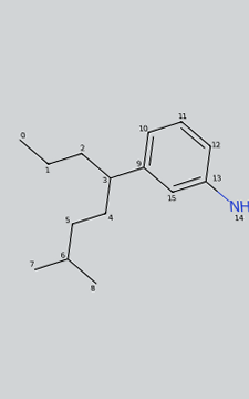 CCCC(CCC(C)C)c1cccc(N)c1